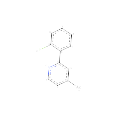 CC(=O)c1ccnc(-c2ccccc2F)c1